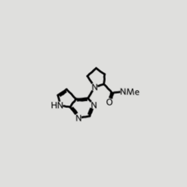 CNC(=O)C1CCCN1c1ncnc2[nH]ccc12